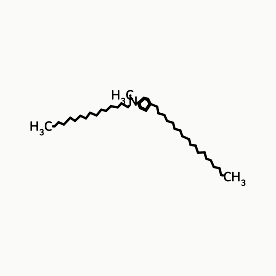 CCCCCCCCCCCCCCCCCCCc1ccc(N(C)CCCCCCCCCCCCCCCC)cc1